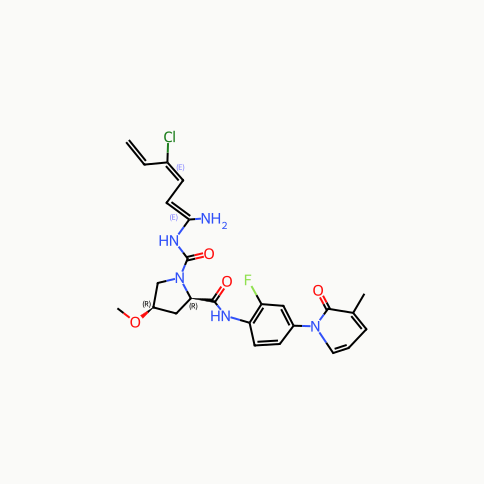 C=C/C(Cl)=C\C=C(/N)NC(=O)N1C[C@H](OC)C[C@@H]1C(=O)Nc1ccc(-n2cccc(C)c2=O)cc1F